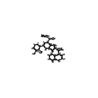 COC(=O)c1cc(-c2ccnc(F)c2F)cc2c1nc(C)n2-c1ccnc2cccc(F)c12